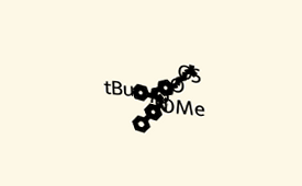 CON(C(=O)[C@@](C)(Cc1ccc(OCCOC(C)=S)cc1)c1ccc(C(C)(C)C)cc1)c1ccc(C2CCCCC2)cc1